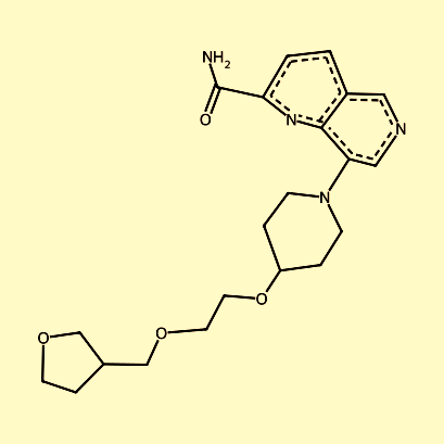 NC(=O)c1ccc2cncc(N3CCC(OCCOCC4CCOC4)CC3)c2n1